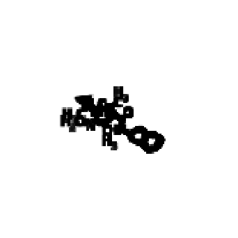 C=N/C(NC1(C)CC1)=C(\C)C(C(=O)NC1Cc2ccccc2C1)=C(C)C